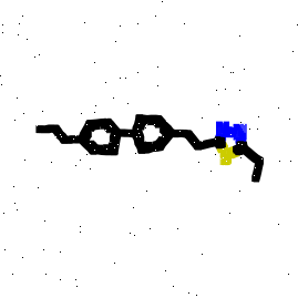 CCCc1ccc(-c2ccc(CCc3nnc(CC)s3)cc2)cc1